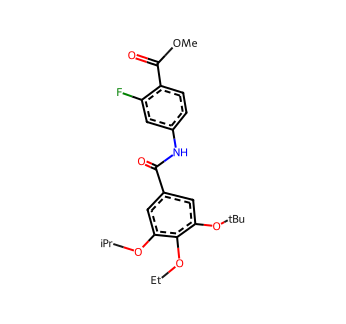 CCOc1c(OC(C)C)cc(C(=O)Nc2ccc(C(=O)OC)c(F)c2)cc1OC(C)(C)C